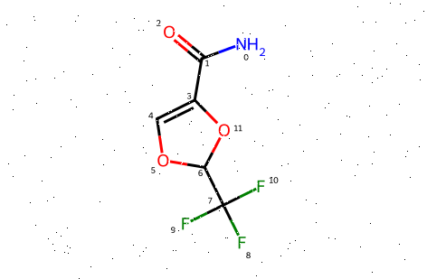 NC(=O)C1=COC(C(F)(F)F)O1